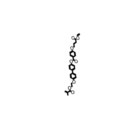 C=COC(=O)CCCOc1ccc(C(=O)Oc2ccc(-c3ccc(OCCOC(=O)C(=C)C)cc3)cc2)cc1